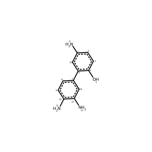 Nc1ccc(O)c(-c2ccc(N)c(N)c2)c1